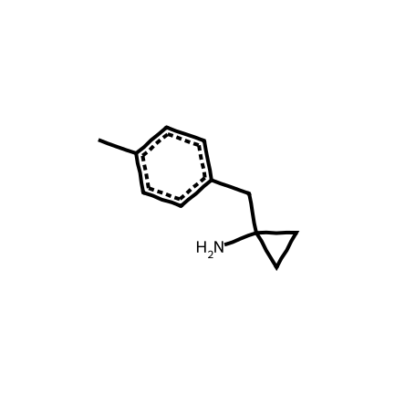 Cc1ccc(CC2(N)CC2)cc1